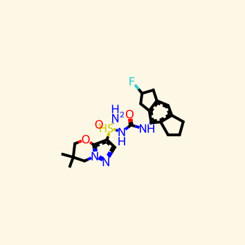 CC1(C)COc2c([SH](N)(=O)NC(=O)Nc3c4c(cc5c3CC(F)C5)CCC4)cnn2C1